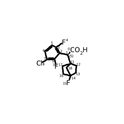 O=C(O)[C@H](c1c(F)ccc(Cl)c1F)C12CCC(F)(CC1)C2